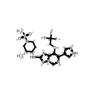 C[C@@H]1CN(S(C)(=O)=O)CC[C@@H]1Nc1nc2c(OCC(F)(F)F)c(-c3cn[nH]c3)ncn2n1